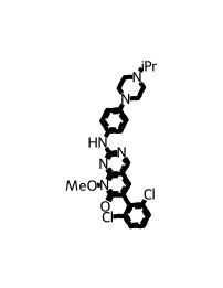 COn1c(=O)c(-c2c(Cl)cccc2Cl)cc2cnc(Nc3ccc(N4CCN(C(C)C)CC4)cc3)nc21